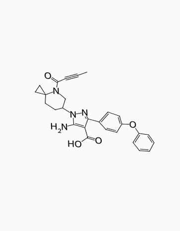 CC#CC(=O)N1CC(n2nc(-c3ccc(Oc4ccccc4)cc3)c(C(=O)O)c2N)CCC12CC2